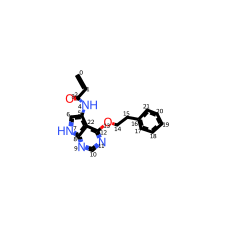 C=CC(=O)Nc1c[nH]c2ncnc(OCCc3ccccc3)c12